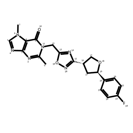 Cc1nc2ncn(C)c2c(=O)n1Cc1nc([C@@H]2CO[C@@H](c3ccc(F)cc3)C2)no1